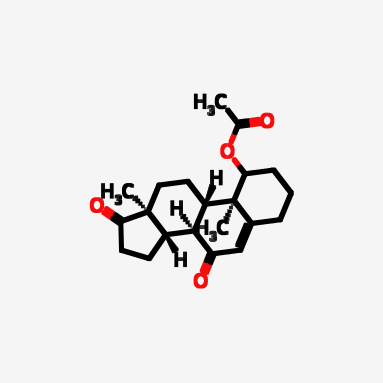 CC(=O)OC1CCCC2=CC(=O)[C@H]3[C@@H]4CCC(=O)[C@@]4(C)CC[C@@H]3[C@]21C